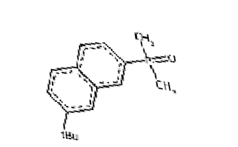 CC(C)(C)c1ccc2ccc(P(C)(C)=O)cc2c1